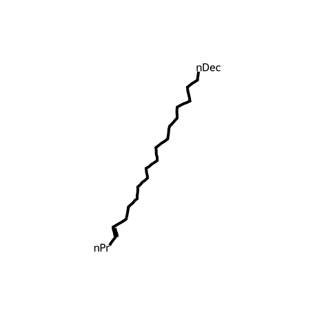 [CH2]CCCCCCCCCCCCCCCCCCCCCCCCC=CCCC